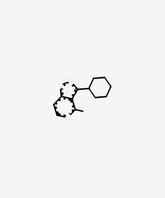 Clc1nccc2[nH]nc(C3CCCCC3)c12